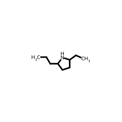 CCCC1CCC(CC)N1